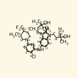 C[C@@H]1CN(c2ncc(Cl)c(Nc3ccc4c(c3)n(CCC(C)(C)O)c(=O)n4CCC(C)(C)O)n2)C[C@H](C)C1C(F)(F)F